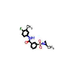 Cc1cc(NC(=O)c2cccc(S(=O)(=O)N3CC3C)c2)ccc1F